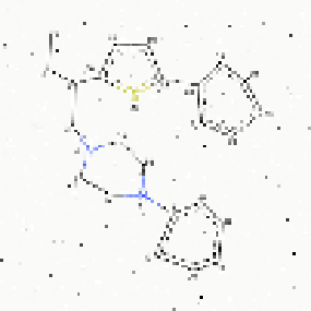 CCC(CN1CCN(c2ccccc2)CC1)c1ccc(-c2ccccc2)s1